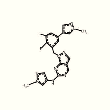 Cn1cc(Nc2ncc3cnn(Cc4cc(-c5cnn(C)c5)cc(F)c4F)c3n2)cn1